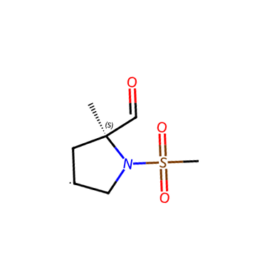 C[C@@]1(C=O)C[CH]CN1S(C)(=O)=O